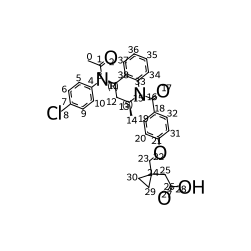 CC(=O)N(c1ccc(Cl)cc1)[C@@H]1C[C@H](C)N(C(=O)c2ccc(OCC3(CC(=O)O)CC3)cc2)c2ccccc21